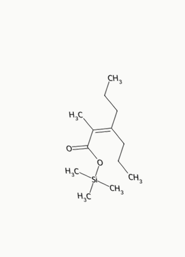 CCCC(CCC)=C(C)C(=O)O[Si](C)(C)C